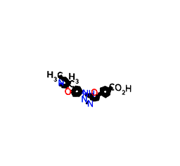 Cc1ccc(Oc2ccc(Nc3ncnc4cc(-c5ccc(C(=O)O)cc5)oc34)cc2C)cn1